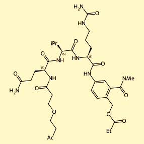 CCC(=O)OCc1ccc(NC(=O)[C@H](CCCNC(N)=O)NC(=O)[C@@H](NC(=O)[C@H](CCC(N)=O)NC(=O)CCOCCC(C)=O)C(C)C)cc1C(=O)NC